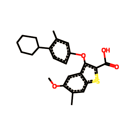 COc1cc2c(Oc3ccc(C4CCCCC4)c(C)c3)c(C(=O)O)sc2cc1C